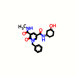 CNC(=O)c1cc(C(=O)N[C@H]2CCC[C@@H](O)C2)cn(Cc2ccccc2)c1=O